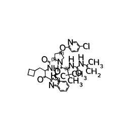 C=C(C)NC(=O)N[C@H](C(=O)N1C[C@H](Oc2ccc(Cl)cn2)C[C@H]1C(=O)NC(CC1CCC1)C(=O)c1nc2ccccc2s1)C(C)(C)C